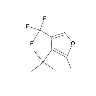 Cc1occ(C(F)(F)F)c1C(C)(C)C